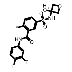 CC1(NS(=O)(=O)c2ccc(F)c(C(=O)Nc3ccc(F)c(F)c3)c2)COC1